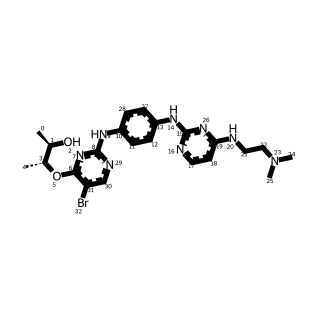 C[C@@H](O)[C@@H](C)Oc1nc(Nc2ccc(Nc3nccc(NCCN(C)C)n3)cc2)ncc1Br